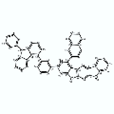 c1ccc(-n2c3ccccc3c3c(-c4cccc(-c5nc(-c6ccc7ccccc7c6)c6c(n5)oc5cc7oc8ccccc8c7cc56)c4)cccc32)cc1